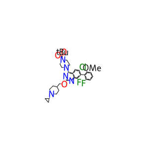 COc1cccc(F)c1-c1c(Cl)cc2c(N3CCN(C(=O)OC(C)(C)C)CC3)nc(OCC3CCN(C4CC4)CC3)nc2c1F